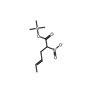 CC=CCC(C(=O)O[Si](C)(C)C)[N+](=O)[O-]